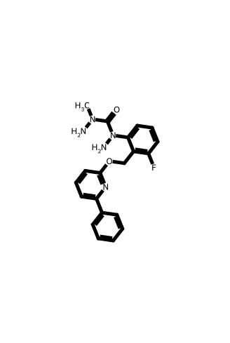 CN(N)C(=O)N(N)c1cccc(F)c1COc1cccc(-c2ccccc2)n1